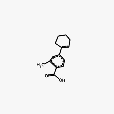 Cc1cc(C2=CCCCC2)ccc1C(=O)O